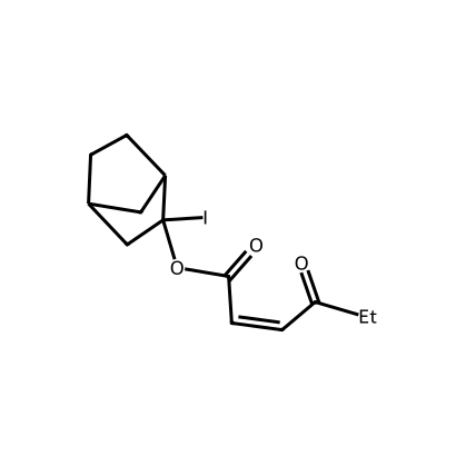 CCC(=O)/C=C\C(=O)OC1(I)CC2CCC1C2